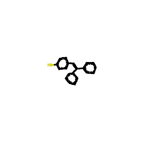 Sc1ccc(C=C(c2ccccc2)c2ccccc2)cc1